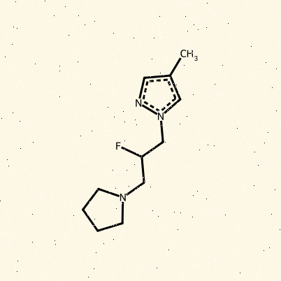 Cc1cnn(CC(F)CN2CCCC2)c1